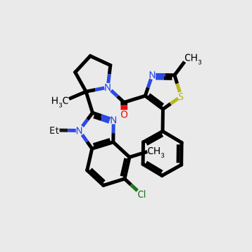 CCn1c(C2(C)CCCN2C(=O)c2nc(C)sc2-c2ccccc2)nc2c(C)c(Cl)ccc21